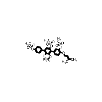 COc1c(-c2ccc(OS(C)(=O)=O)cc2)cc(OS(C)(=O)=O)c(-c2ccc(OCC=C(C)C)c(OS(C)(=O)=O)c2)c1OC